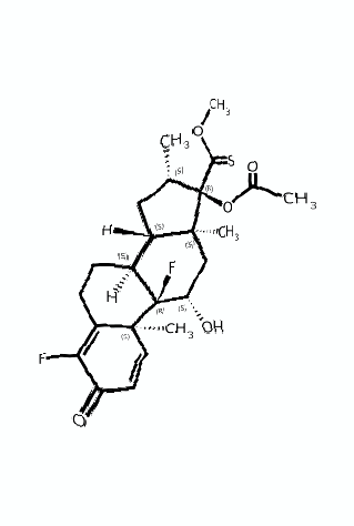 COC(=S)[C@@]1(OC(C)=O)[C@@H](C)C[C@H]2[C@@H]3CCC4=C(F)C(=O)C=C[C@]4(C)[C@@]3(F)[C@@H](O)C[C@@]21C